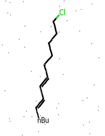 CCCC/C=C/C=C/CCCCCCl